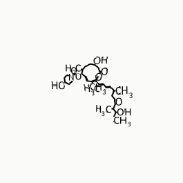 C=C1CCC(O)CC(=O)OC(/C(C)=C/C=C/C(C)CC2OC2C(C)C(O)CC)C(C)/C=C/C1OC(=O)N1CCC(O)CC1